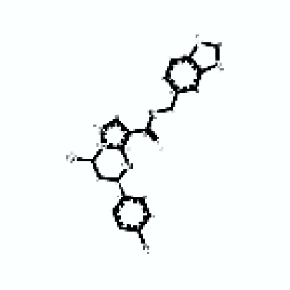 CCc1ccc([C@H]2C[C@@H](C(F)(F)F)n3ncc(C(=O)NCc4ccc5c(c4)OCO5)c3N2)cc1